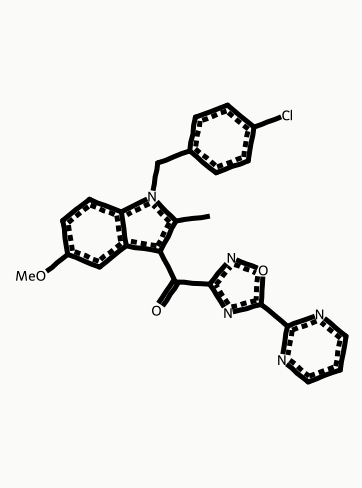 COc1ccc2c(c1)c(C(=O)c1noc(-c3ncccn3)n1)c(C)n2Cc1ccc(Cl)cc1